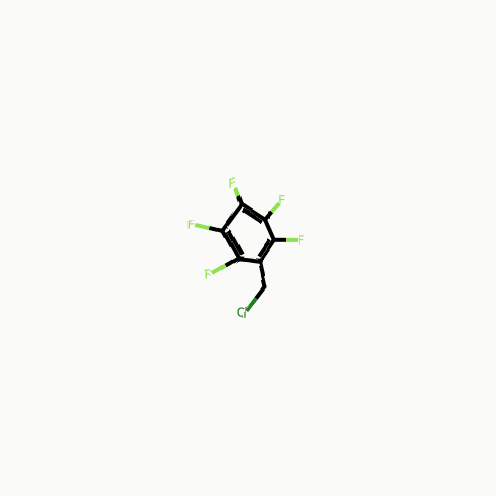 Fc1c(F)c(F)c(CCl)c(F)c1F